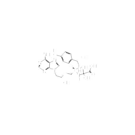 Cc1ccc([C@H](C)N[P@](=O)(CO[C@H](C)Cn2cnc3c(N)ncnc32)NC(C)(C)C(=O)O)cc1